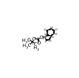 CC(C)(C)OC(=O)On1ccc2ccccc21